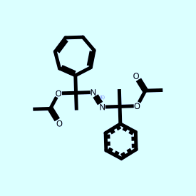 CC(=O)OC(C)(/N=N/C(C)(OC(C)=O)c1ccccc1)C1=CC=CCC=C1